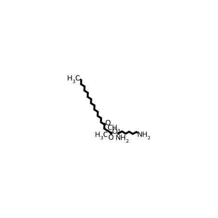 CCCCCCCCCCCCCCCC(=O)CC(C)(C)C(=O)OC(N)CCCCCN